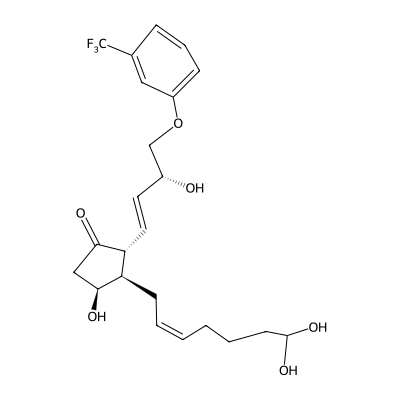 O=C1C[C@H](O)[C@H](C/C=C\CCCC(O)O)[C@H]1/C=C/[C@@H](O)COc1cccc(C(F)(F)F)c1